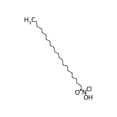 CCCCCCCCCCCCCCCCCCCCCCC(=O)N(O)Cl